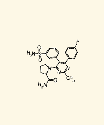 NC(=O)C1CCCN1c1nc(C(F)(F)F)nc(-c2ccc(F)cc2)c1-c1cccc(S(N)(=O)=O)c1